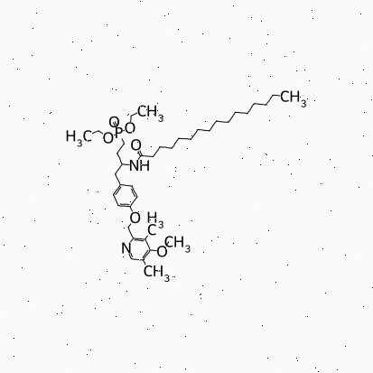 CCCCCCCCCCCCCCCC(=O)NC(CCP(=O)(OCC)OCC)Cc1ccc(OCc2ncc(C)c(OC)c2C)cc1